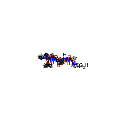 CC(=O)N[C@@H](CC(=O)O)C(=O)NCC(=O)N[C@H](C(=O)NCC(=O)Nc1ccc2c(c1)OC1=CC(NC(=O)[C@H](CC(=O)O)NC(=O)[C@H](CCCCN(Cc3ccccn3)Cc3ccccn3)NC(=O)OCC3c4ccccc4-c4ccccc43)=CCC1C21OC(=O)c2ccccc21)C(C)C